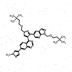 Cn1cc(-c2ccc3c(-c4cn(COCC[Si](C)(C)C)nc4-c4cnc5c(cnn5COCC[Si](C)(C)C)c4)ncnc3c2)cn1